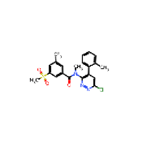 Cc1ccccc1-c1cc(Cl)nnc1N(C)C(=O)c1cc(C(F)(F)F)cc(S(C)(=O)=O)c1